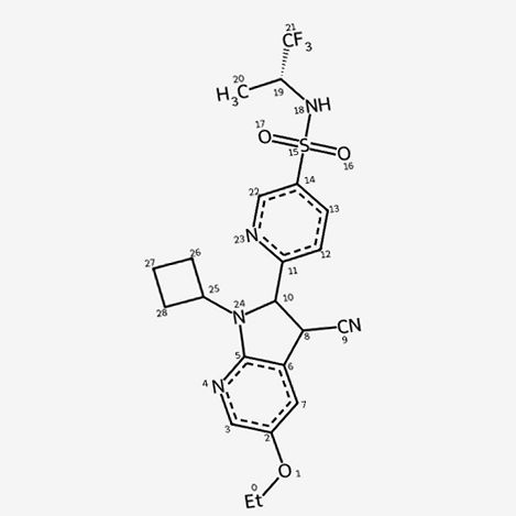 CCOc1cnc2c(c1)C(C#N)C(c1ccc(S(=O)(=O)N[C@H](C)C(F)(F)F)cn1)N2C1CCC1